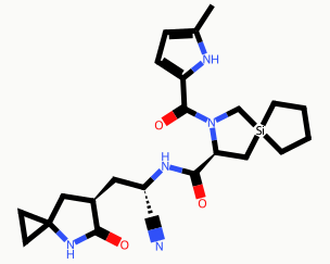 Cc1ccc(C(=O)N2C[Si]3(CCCC3)C[C@H]2C(=O)N[C@H](C#N)C[C@@H]2CC3(CC3)NC2=O)[nH]1